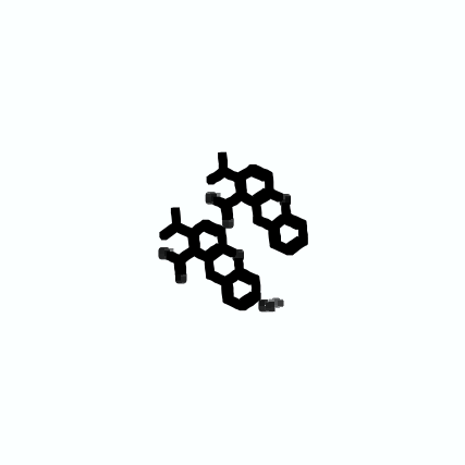 CC(C)c1ccc2c(c1C(=O)[O-])Cc1ccccc1O2.CC(C)c1ccc2c(c1C(=O)[O-])Cc1ccccc1O2.[Cd+2]